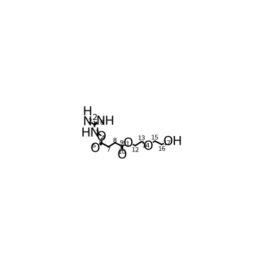 N=C(N)NOC(=O)CCC(=O)OCCOCCO